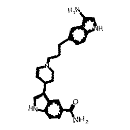 NC(=O)c1ccc2c(c1)C(C1CCN(CCCc3ccc4[nH]cc(N)c4c3)CC1)CN2